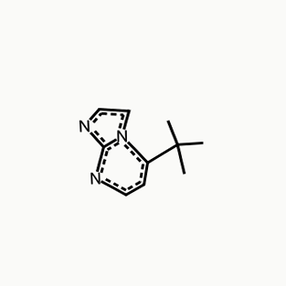 CC(C)(C)c1ccnc2nccn12